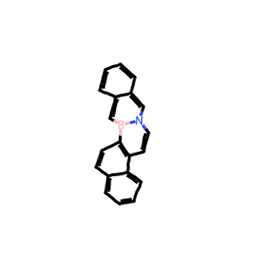 C1=CN2C=c3ccccc3=CB2c2ccc3ccccc3c21